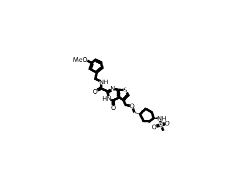 COc1cccc(CNC(=O)c2nc3scc(COC[C@H]4CC[C@H](NS(C)(=O)=O)CC4)c3c(=O)[nH]2)c1